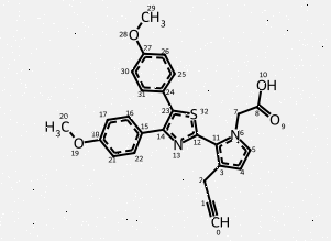 C#CCc1ccn(CC(=O)O)c1-c1nc(-c2ccc(OC)cc2)c(-c2ccc(OC)cc2)s1